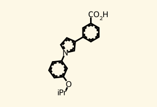 CC(C)Oc1cccc(-n2ccc(-c3cccc(C(=O)O)c3)c2)c1